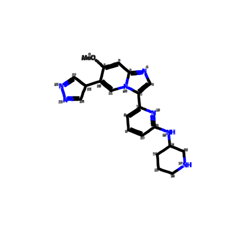 COc1cc2ncc(-c3cccc(NC4CCCNC4)n3)n2cc1C1C=NN=C1